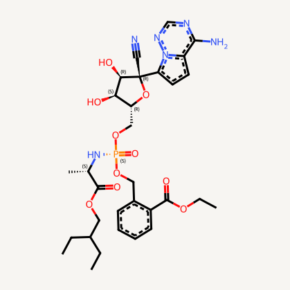 CCOC(=O)c1ccccc1CO[P@@](=O)(N[C@@H](C)C(=O)OCC(CC)CC)OC[C@H]1O[C@@](C#N)(c2ccc3c(N)ncnn23)[C@H](O)[C@@H]1O